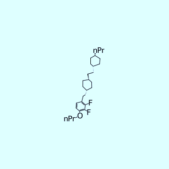 CCCOc1ccc(CC[C@H]2CC[C@H](CC[C@H]3CC[C@H](CCC)CC3)CC2)c(F)c1F